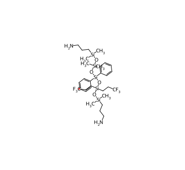 C[Si](C)(CCCN)O[Si](C)(C)O[Si](O[Si](CCC(F)(F)F)(CCC(F)(F)F)O[Si](C)(C)CCCN)(c1ccccc1)c1ccccc1